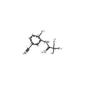 N#Cc1ccc(F)c(NC(=O)C(F)(F)F)c1